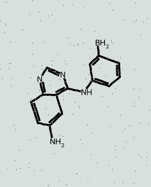 Bc1cccc(Nc2ncnc3ccc(N)cc23)c1